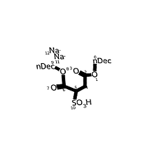 CCCCCCCCCCOC(=O)CC(C(=O)OCCCCCCCCCC)S(=O)(=O)O.[Na].[Na]